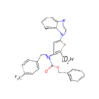 O=C(O)c1sc(-n2cnc3ccccc32)cc1N(Cc1ccc(C(F)(F)F)cc1)C(=O)OCc1ccccc1